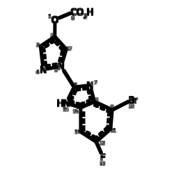 O=C(O)Oc1cnn(-c2nc3c(Br)cc(F)cc3[nH]2)c1